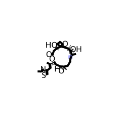 CC(=Cc1csc(C)n1)[C@@H]1C[C@@H]2O[C@@]2(C)CC/C=C(\C)[C@H](O)[C@@H](C)C(=O)C2(CCC2)[C@@H](O)CC(=O)O1